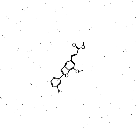 COC(=O)/C=C/c1cc(OC)c2oc(-c3cccc(F)c3)cc2c1